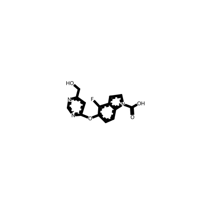 O=C(O)n1ccc2c(F)c(Oc3cc(CO)ncn3)ccc21